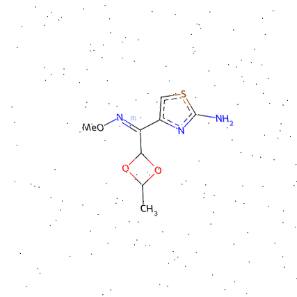 CO/N=C(/c1csc(N)n1)C1OC(C)O1